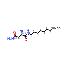 CCCCCCCCCCCCCCCCNC(=O)[C@@H](N)CC(N)=O